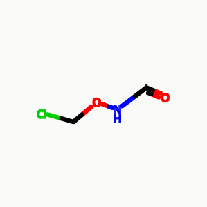 O=[C]NOCCl